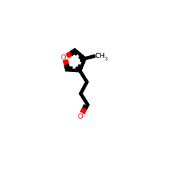 Cc1cocc1CCC=O